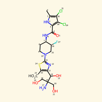 Cc1[nH]c(C(=O)N[C@@H]2CCN(c3nc(C(O)C(N)(CO)CO)c(C(=O)O)s3)C[C@@H]2F)c(Cl)c1Cl